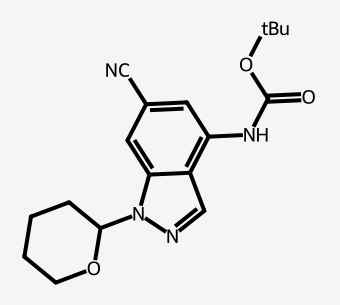 CC(C)(C)OC(=O)Nc1cc(C#N)cc2c1cnn2C1CCCCO1